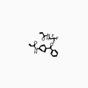 C=CC(=O)NCC(F)(F)F.C=CC(=O)Nc1ccc(C(=O)c2ccccc2)cc1